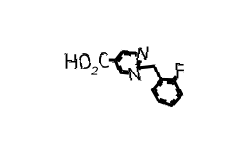 O=C(O)c1cnc(Cc2ccccc2F)nc1